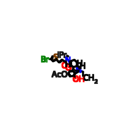 C=CCN1CC[C@]23c4c5c(O)cc(OC(C)=O)c4O[C@H]2[C@@H](N(CC(C)C)C(=O)/C=C/c2cc(Br)cs2)CC[C@H]3[C@H]1C5